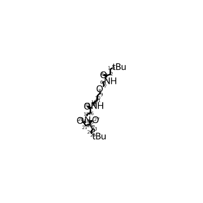 CC(C)(C)CCC(=O)NCCOCCCCNC(=O)CCN1C(=O)CC(SCC(C)(C)C)C1=O